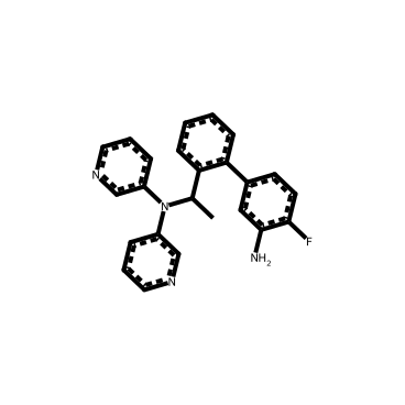 CC(c1ccccc1-c1ccc(F)c(N)c1)N(c1cccnc1)c1cccnc1